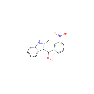 COC(c1cccc([N+](=O)[O-])c1)c1c(C)[nH]c2ccccc12